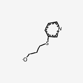 [O]CCCSc1cccnc1